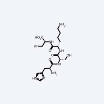 CC(C)C[C@H](NC(=O)[C@H](CCCCN)NC(=O)[C@H](CO)NC(=O)[C@@H](N)Cc1c[nH]cn1)C(=O)O